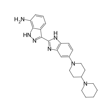 Nc1cccc2c(-c3nc4cc(N5CCC(N6CCCCC6)CC5)ccc4[nH]3)n[nH]c12